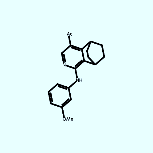 COc1cccc(Nc2ncc(C(C)=O)c3c2C2CCC3CC2)c1